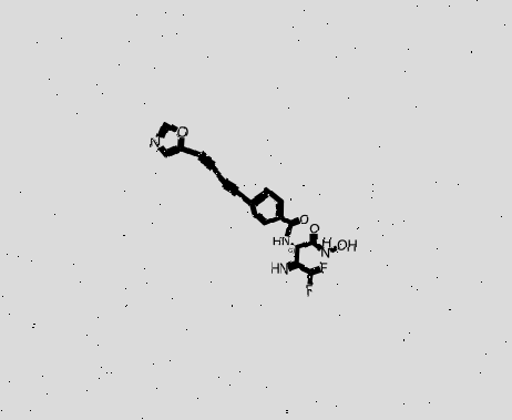 N=C(C(F)F)[C@H](NC(=O)c1ccc(C#CC#Cc2cnco2)cc1)C(=O)NO